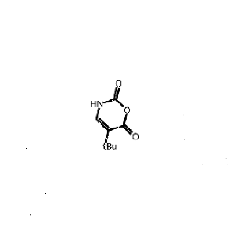 CC(C)(C)c1c[nH]c(=O)oc1=O